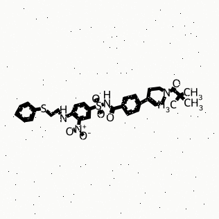 CC(C)(C)C(=O)N1CC=C(c2ccc(C(=O)NS(=O)(=O)c3ccc(NCCSc4ccccc4)c([N+](=O)[O-])c3)cc2)CC1